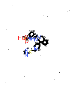 Cn1ccnc1SCCN1CCC(=C2c3ccccc3CCn3ccnc32)CC1.O=S(=O)(O)NC1CCCCC1